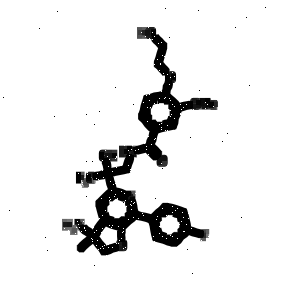 COc1cc(C(=O)NCC(O)(c2cc3c(c(-c4ccc(F)cc4)n2)OCC3(C)N)C(F)(F)F)ccc1OCCO